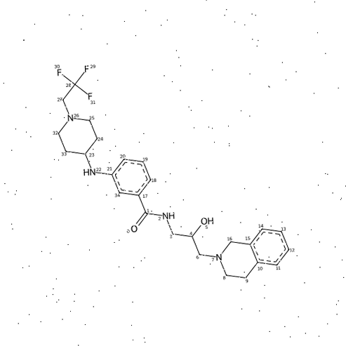 O=C(NCC(O)CN1CCc2ccccc2C1)c1cccc(NC2CCN(CC(F)(F)F)CC2)c1